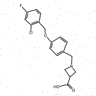 O=C(O)C1CN(Cc2ccc(OCc3ccc(F)cc3Cl)cc2)C1